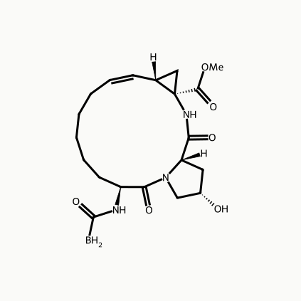 BC(=O)N[C@H]1CCCCC/C=C\[C@@H]2C[C@@]2(C(=O)OC)NC(=O)[C@@H]2C[C@H](O)CN2C1=O